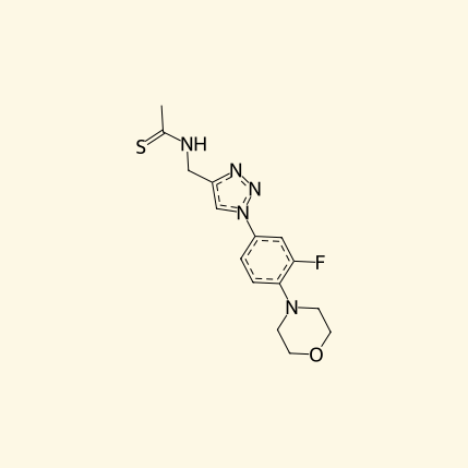 CC(=S)NCc1cn(-c2ccc(N3CCOCC3)c(F)c2)nn1